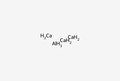 [AlH3].[CaH2].[CaH2].[CaH2]